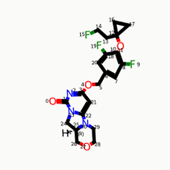 O=c1nc(OCc2cc(F)c(OC3(CCF)CC3)c(F)c2)cc2n1C[C@@H]1COCCN21